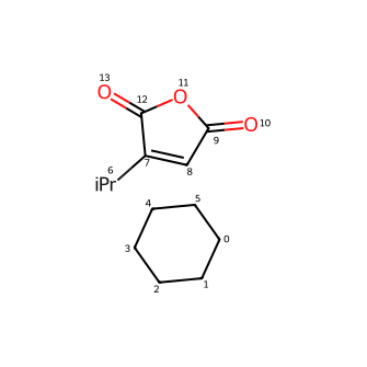 C1CCCCC1.CC(C)C1=CC(=O)OC1=O